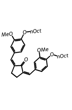 CCCCCCCCOc1ccc(C=C2CCC(=Cc3ccc(OCCCCCCCC)c(OC)c3)C2=O)cc1OC